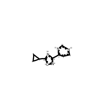 c1cc(-c2noc(C3CC3)n2)ncn1